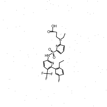 CCc1ccc(F)cc1-c1nc(NS(=O)(=O)c2cccc(N(CC)CCC(=O)O)n2)ccc1C(F)(F)F